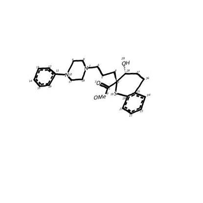 COC(=O)[C@@]1(CCCN2CCN(c3ccccc3)CC2)Sc2ccccc2CC[C@H]1O